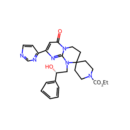 CCOC(=O)N1CCC2(CC1)CCn1c(nc(-c3ccncn3)cc1=O)N2C[C@@H](O)c1ccccc1